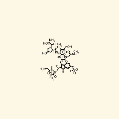 CNC(=O)CNC(=O)[C@H](Cc1c([S+]([O-])C[C@H](NC(=O)CN)C(=O)NC)[nH]c2cc(OS(=O)(=O)F)ccc12)NC(=O)[C@@H](NC(=O)[C@@H]1C[C@@H](O)CN1C(O)[C@@H](N)O)[C@@H](C)[C@@H](O)CO